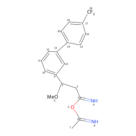 COC(CC(=N)OC(C)=N)c1cccc(-c2ccc(C(F)(F)F)cc2)c1